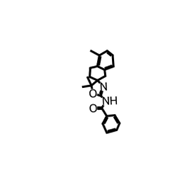 Cc1cccc2c1CCC1(C2)N=C(NC(=O)c2ccccc2)OC1(C)C